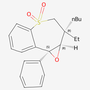 CCCC[C@@]1(CC)CS(=O)(=O)c2ccccc2[C@]2(c3ccccc3)O[C@H]12